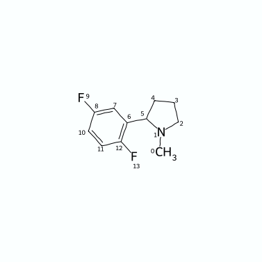 CN1CCCC1c1cc(F)ccc1F